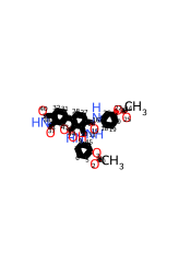 CC(=O)Oc1cccc(NC(=N)c2c(C(=O)Nc3cccc(OC(C)=O)c3)ccc(-c3ccc4c(c3)C(=O)NC4=O)c2C(=O)O)c1